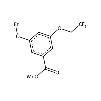 CCOc1cc(OCC(F)(F)F)cc(C(=O)OC)c1